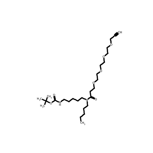 C#CCOCCOCCOCCOCCC(=O)N(CCCCC)CCCCCNC(=O)OC(C)(C)C